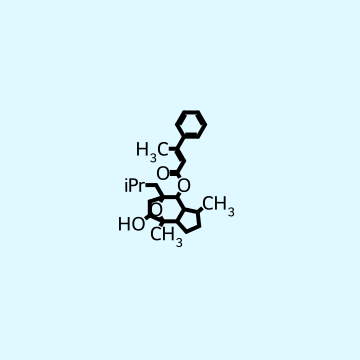 C/C(=C\C(=O)OC1C2C(C)CCC2C2(C)OC1(CC(C)C)CC2O)c1ccccc1